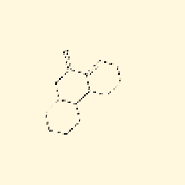 O=C1CC2CCCCC2C2CCCC=C12